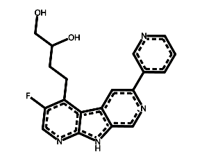 OCC(O)CCc1c(F)cnc2[nH]c3cnc(-c4cccnc4)cc3c12